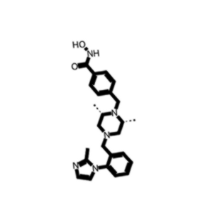 Cc1nccn1-c1ccccc1CN1C[C@@H](C)N(Cc2ccc(C(=O)NO)cc2)[C@@H](C)C1